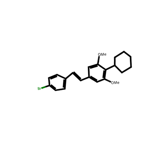 COc1cc(C=Cc2ccc(Br)cc2)cc(OC)c1C1CCCCC1